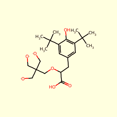 CC(C)(C)c1cc(CC(OCC(C[O])(C[O])C[O])C(=O)O)cc(C(C)(C)C)c1O